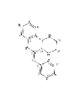 c1ccc(C[S+](Cc2ccccc2)C2CCCCC2)cc1